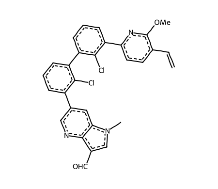 C=Cc1ccc(-c2cccc(-c3cccc(-c4cnc5c(C=O)cn(C)c5c4)c3Cl)c2Cl)nc1OC